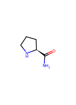 NC(=O)[C@@H]1C[CH]CN1